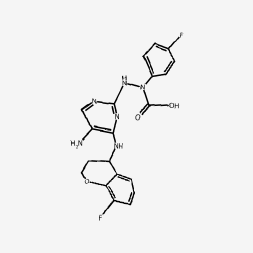 Nc1cnc(NN(C(=O)O)c2ccc(F)cc2)nc1NC1CCOc2c(F)cccc21